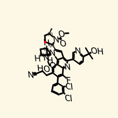 COC(=O)N1[C@H](C)CC[C@@H]1c1cc2c(-c3ccc(C(C)(C)O)nc3)nc3c(F)c(-c4cccc(Cl)c4Cl)c(CCC#N)cc3c2n1[C@H]1[C@@H]2C[C@H]1N(C(=O)O)C2